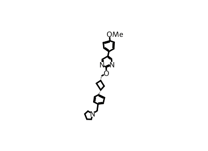 COc1ccc(-c2cnc(OC[C@H]3C[C@@H](c4ccc(CN5CCCC5)cc4)C3)nc2)cc1